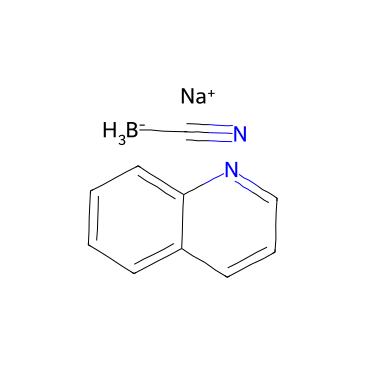 [BH3-]C#N.[Na+].c1ccc2ncccc2c1